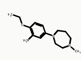 CN1CCCN(c2ccc(OCC(F)(F)F)c(N)c2)CC1